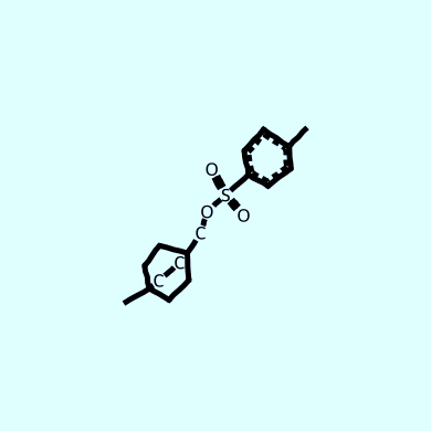 Cc1ccc(S(=O)(=O)OCC23CCC(C)(CC2)CC3)cc1